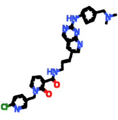 CN(C)Cc1ccc(Nc2ncc3cc(C=CCNC(=O)c4cccn(Cc5ccc(Cl)nc5)c4=O)cnc3n2)cc1